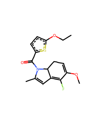 CCOc1ccc(C(=O)N2C(C)=[C]C3=C(F)C(OC)=CCC32)s1